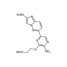 COCCOc1nc(-c2ccc3nc(NC(C)=O)cn3n2)cnc1N